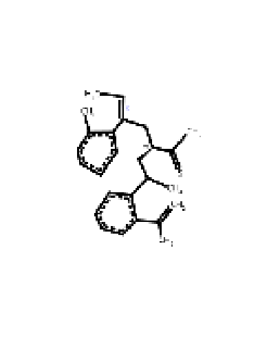 C=C(C)c1ccccc1C(C)C[C@@H](C/C(=C/C)c1ccccc1C)C(C)=S